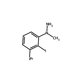 CC(C)c1cccc(N(C)N)c1I